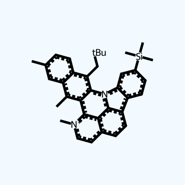 Cc1ccc2c(CC(C)(C)C)c3c(c(C)c2c1)c1c2c(ccc4c5ccc([Si](C)(C)C)cc5n3c42)cc[n+]1C